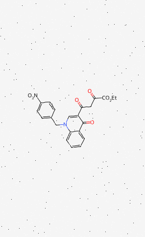 CCOC(=O)C(=O)CC(=O)c1cn(Cc2ccc([N+](=O)[O-])cc2)c2ccccc2c1=O